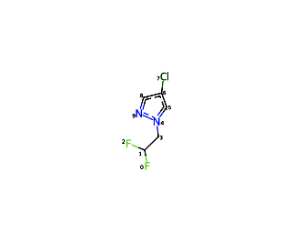 FC(F)Cn1[c]c(Cl)[c]n1